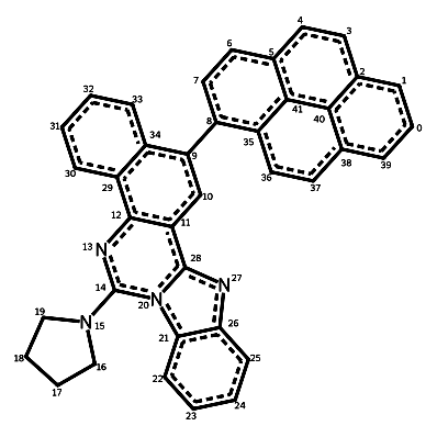 c1cc2ccc3ccc(-c4cc5c(nc(N6CCCC6)n6c7ccccc7nc56)c5ccccc45)c4ccc(c1)c2c34